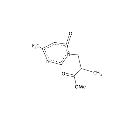 COC(=O)C(C)Cn1cnc(C(F)(F)F)cc1=O